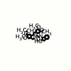 COc1ccc(CC2c3cc(OC(C)C)c(OC)cc3CCN2CC(=O)N[C@H]2c3ccccc3C[C@H]2O)cc1OC